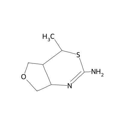 CC1SC(N)=NC2COCC21